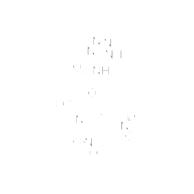 Cn1c2c([N+](=O)[O-])cc([N+](=O)[O-])cc2c2oc(C(=O)Nc3nnn[nH]3)cc(=O)c21